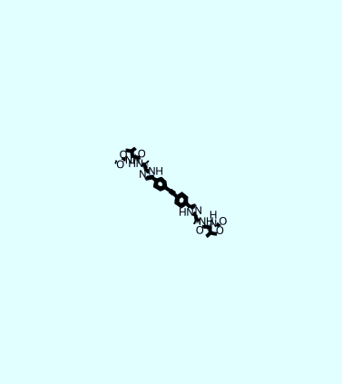 COC(=O)N[C@H](C(=O)N[C@@H](C)c1ncc(-c2ccc(C#Cc3ccc(-c4cnc([C@H](C)NC(=O)[C@@H](NC(=O)OC)C(C)C)[nH]4)cc3)cc2)[nH]1)C(C)C